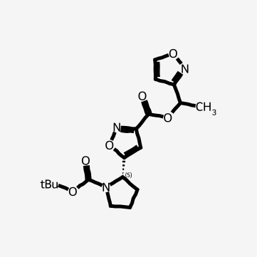 CC(OC(=O)c1cc([C@@H]2CCCN2C(=O)OC(C)(C)C)on1)c1ccon1